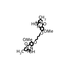 C=C1C[C@H]2C(O)=Nc3cc(OCCCCCOc4cc5c(cc4OC)C(=O)N4CC(=C)C[C@H]4C(O)=N5)c(OC)cc3C(=O)N2C1